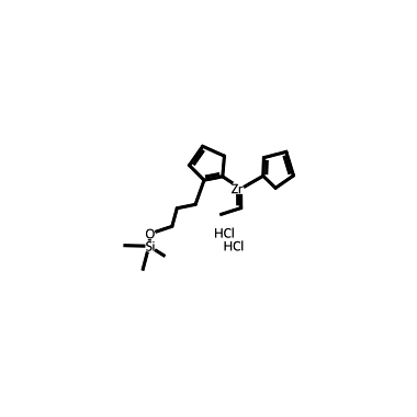 C[CH]=[Zr]([C]1=CC=CC1)[C]1=C(CCCO[Si](C)(C)C)C=CC1.Cl.Cl